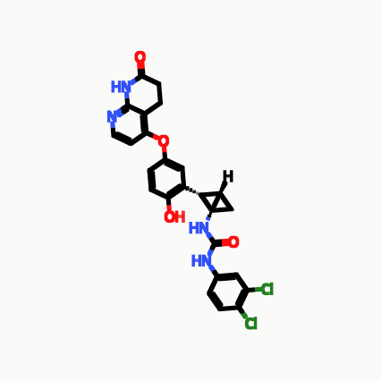 O=C1CCc2c(Oc3ccc(O)c([C@@H]4[C@@H]5C[C@@]45NC(=O)Nc4ccc(Cl)c(Cl)c4)c3)ccnc2N1